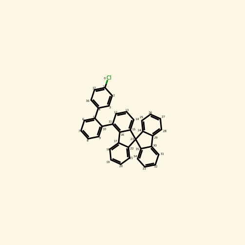 Clc1ccc(-c2ccccc2-c2cccc3c2-c2ccccc2C32c3ccccc3-c3ccccc32)cc1